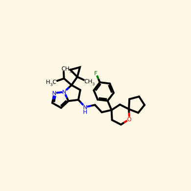 CC(C)C1(C2(C)CC2)CC(NCCC2(c3ccc(F)cc3)CCOC3(CCCC3)C2)c2ccnn21